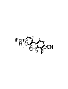 CCCC(C)/C=C\C(=C(C)C)c1ccc(C#N)c(F)c1